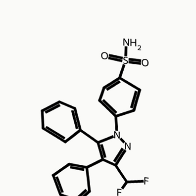 NS(=O)(=O)c1ccc(-n2nc(C(F)F)c(-c3ccccc3)c2-c2ccccc2)cc1